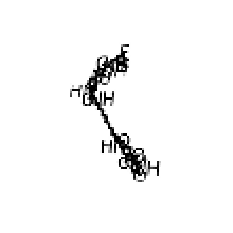 O=C1CCC(N2C(=O)c3ccc(NC(=O)CCCCCCCCCCCCCNC(=O)c4cc5cc(N6CC[C@](O)(C(=O)NCc7cc(F)cc(F)c7)C6=O)ccc5[nH]4)cc3C2=O)C(=O)N1